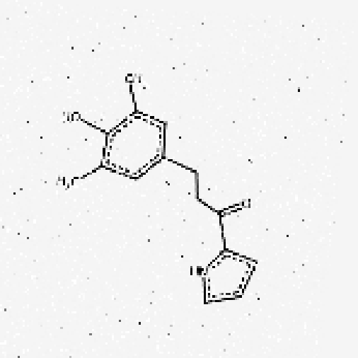 Cc1cc(CCC(=O)c2ccc[nH]2)cc(C)c1O